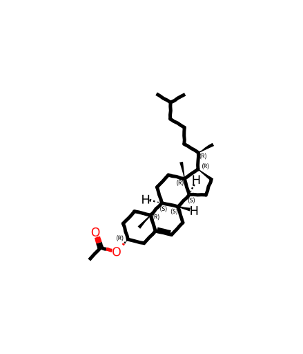 CC(=O)O[C@@H]1CC[C@@]2(C)C(=CC[C@H]3[C@@H]4CC[C@H]([C@H](C)CCCC(C)C)[C@@]4(C)CC[C@@H]32)C1